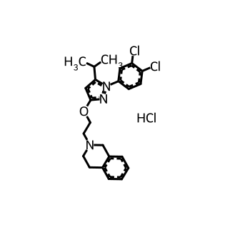 CC(C)c1cc(OCCN2CCc3ccccc3C2)nn1-c1ccc(Cl)c(Cl)c1.Cl